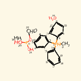 C[PH](c1ccccc1)(c1ccccc1)c1ccccc1.O.O=COP(O)O.[HH]